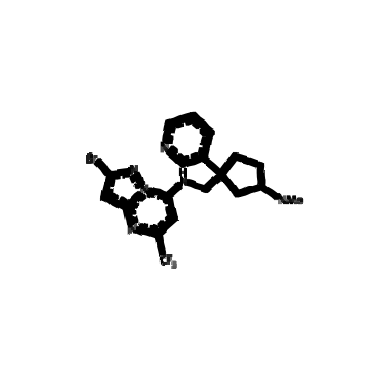 CNC1CCC(CNc2cc(C(F)(F)F)nc3cc(Br)nn23)(c2cccnc2)C1